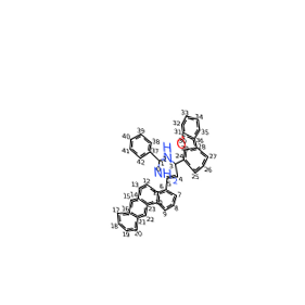 NC(NC(/C=C/c1cccc2c1ccc1cc3ccccc3cc12)c1cccc2c1oc1ccccc12)c1ccccc1